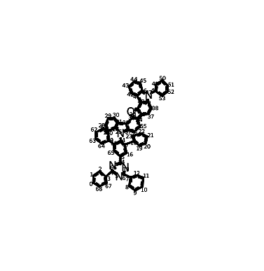 c1ccc(-c2nc(-c3ccccc3)nc(-c3cc(-c4ccccc4)c(-n4c5ccccc5c5c6oc7c(ccc8c7c7ccccc7n8-c7ccccc7)c6ccc54)c(-c4ccccc4)c3)n2)cc1